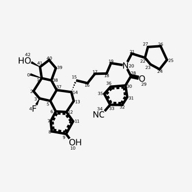 C[C@]12C[C@H](F)C3c4ccc(O)cc4C[C@@H](CCCCCN(CC4CCCCC4)C(=O)c4ccc(C#N)cc4)C3C1CC[C@@H]2O